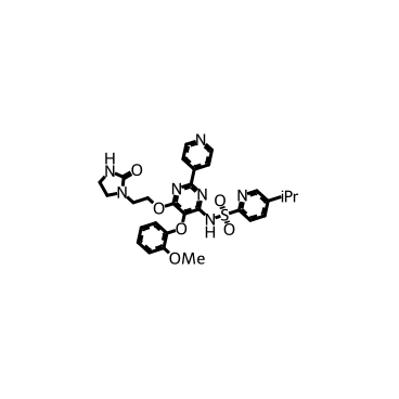 COc1ccccc1Oc1c(NS(=O)(=O)c2ccc(C(C)C)cn2)nc(-c2ccncc2)nc1OCCN1CCNC1=O